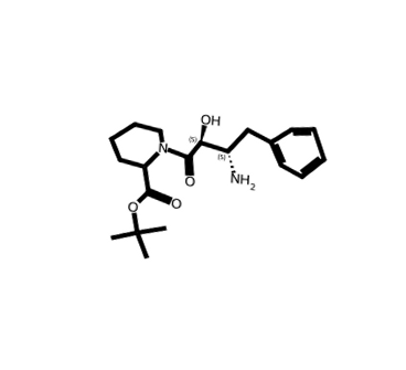 CC(C)(C)OC(=O)C1CCCCN1C(=O)[C@@H](O)[C@@H](N)Cc1ccccc1